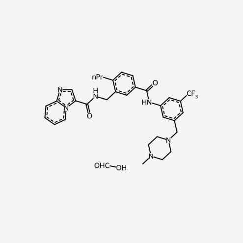 CCCc1ccc(C(=O)Nc2cc(CN3CCN(C)CC3)cc(C(F)(F)F)c2)cc1CNC(=O)c1cnc2ccccn12.O=CO